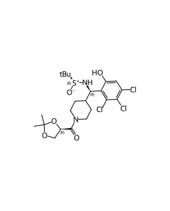 CC1(C)OC[C@H](C(=O)N2CCC([C@@H](N[S@@+]([O-])C(C)(C)C)c3c(O)cc(Cl)c(Cl)c3Cl)CC2)O1